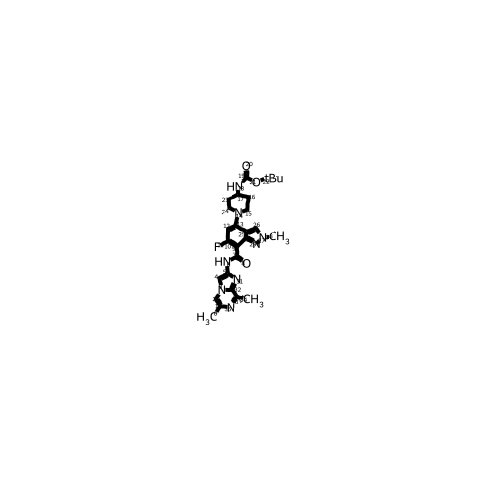 Cc1cn2cc(NC(=O)c3c(F)cc(N4CCC(NC(=O)OC(C)(C)C)CC4)c4cn(C)nc34)nc2c(C)n1